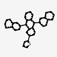 c1csc(-c2ccc3c(-c4ccc5ccccc5c4)c4ccccc4c(-c4ccc5ccccc5c4)c3c2)c1